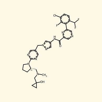 CN(C[C@@H]1CCCN1c1ncc(Cn2cc(NC(=O)c3cncc(-c4c(C(F)F)ccc(Cl)c4F)n3)cn2)cn1)CC1(O)CC1